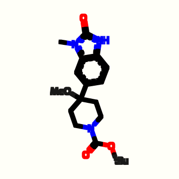 COC1(c2ccc3[nH]c(=O)n(C)c3c2)CCN(C(=O)OC(C)(C)C)CC1